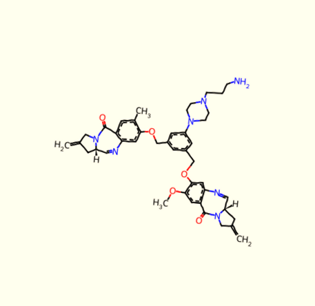 C=C1C[C@H]2C=Nc3cc(OCc4cc(COc5cc6c(cc5OC)C(=O)N5CC(=C)C[C@H]5C=N6)cc(N5CCN(CCCN)CC5)c4)c(C)cc3C(=O)N2C1